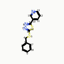 c1ccc(CSc2nnc(-c3cccnc3)s2)cc1